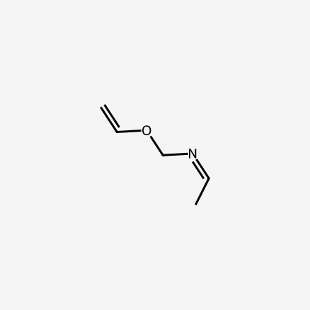 C=COC/N=C\C